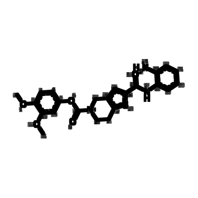 COc1ccc(OC(=O)N2CCc3sc(C(=O)Nc4ccccc4N)cc3C2)cc1OC